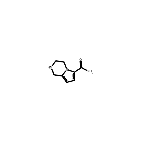 NC(=O)c1ccc2n1CCNC2